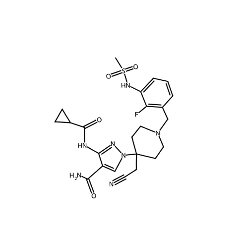 CS(=O)(=O)Nc1cccc(CN2CCC(CC#N)(n3cc(C(N)=O)c(NC(=O)C4CC4)n3)CC2)c1F